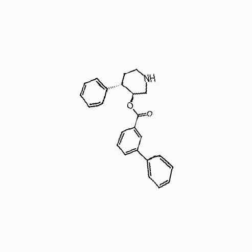 O=C(O[C@@H]1CNCC[C@H]1c1ccccc1)c1cccc(-c2ccccc2)c1